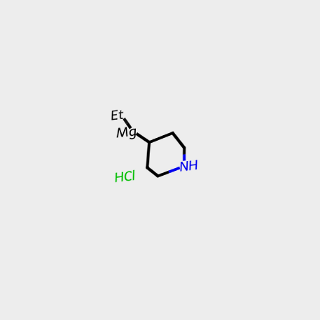 C[CH2][Mg][CH]1CCNCC1.Cl